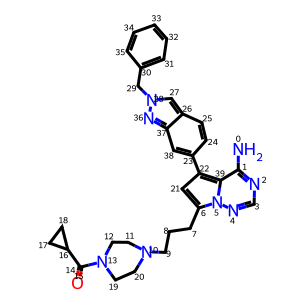 Nc1ncnn2c(CCCN3CCN(C(=O)C4CC4)CC3)cc(-c3ccc4cn(Cc5ccccc5)nc4c3)c12